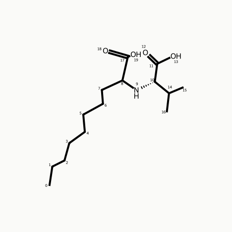 CCCCCCCCC(N[C@H](C(=O)O)C(C)C)C(=O)O